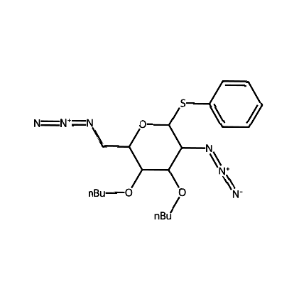 CCCCOC1C(CN=[N+]=[N-])OC(Sc2ccccc2)C(N=[N+]=[N-])C1OCCCC